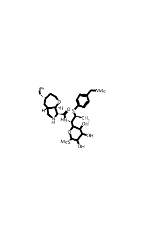 CNCc1ccc(S[C@@H](C)[C@@H](NC(=O)[C@H]2NC[C@@H]3C[C@H](CC(C)C)CCO[C@H]32)C2OC(SC)C(O)C(O)C2O)cc1